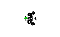 Cc1cc2c(-c3ccccc3)ccccc-2[c]1[Zr+2]([c]1c(C)cc2c(-c3ccccc3)ccccc1-2)[SiH](C)C.[Cl-].[Cl-]